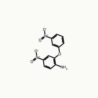 Nc1ccc([N+](=O)[O-])cc1Oc1cccc([N+](=O)[O-])c1